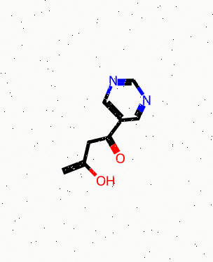 C=C(O)CC(=O)c1cncnc1